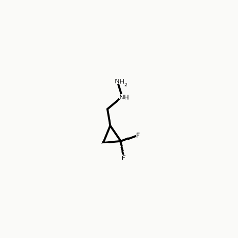 NNCC1CC1(F)F